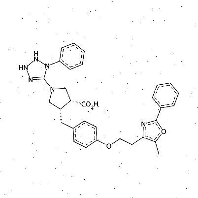 Cc1oc(-c2ccccc2)nc1CCOc1ccc(C[C@@H]2CN(C3=NNNN3c3ccccc3)C[C@@H]2C(=O)O)cc1